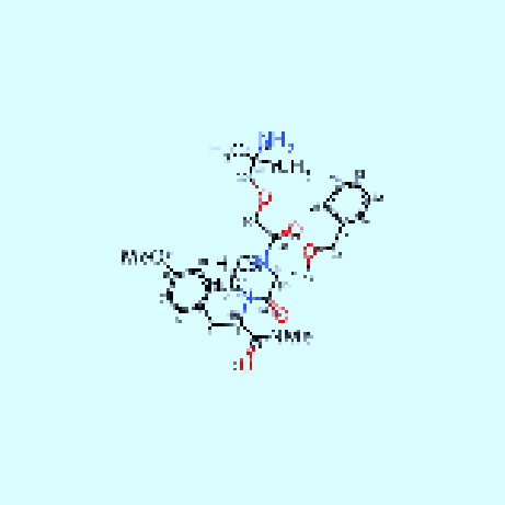 CNC(=O)[C@@H](Cc1ccc(OC)cc1)N(C)C(=O)[C@@H](COCc1ccccc1)N(C)C(=O)COCC(C)(C)N